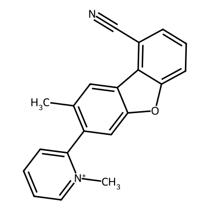 Cc1cc2c(cc1-c1cccc[n+]1C)oc1cccc(C#N)c12